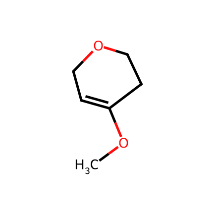 COC1=CCOCC1